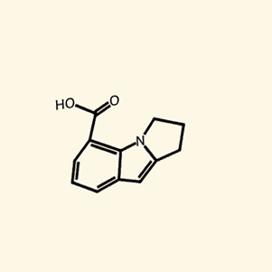 O=C(O)c1cccc2cc3n(c12)CCC3